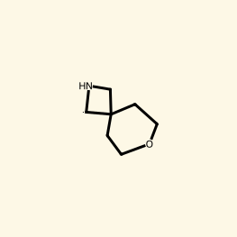 [CH]1NCC12CCOCC2